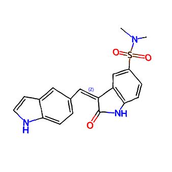 CN(C)S(=O)(=O)c1ccc2c(c1)/C(=C/c1ccc3[nH]ccc3c1)C(=O)N2